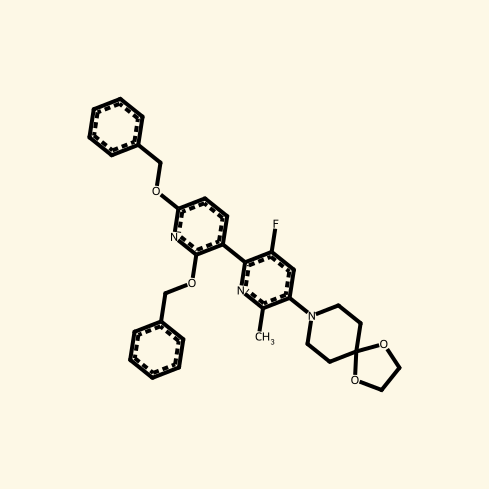 Cc1nc(-c2ccc(OCc3ccccc3)nc2OCc2ccccc2)c(F)cc1N1CCC2(CC1)OCCO2